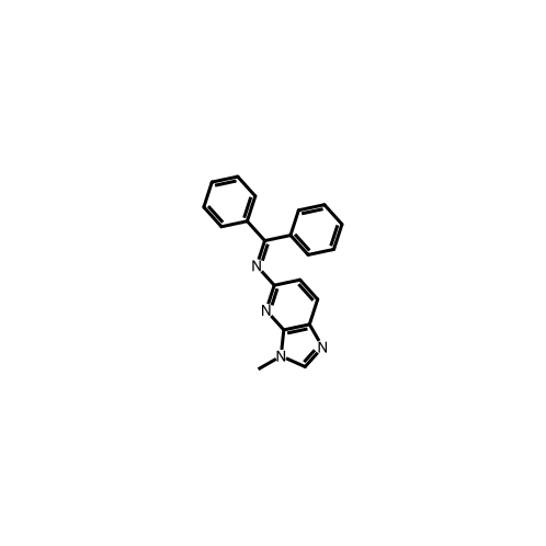 Cn1cnc2ccc(N=C(c3ccccc3)c3ccccc3)nc21